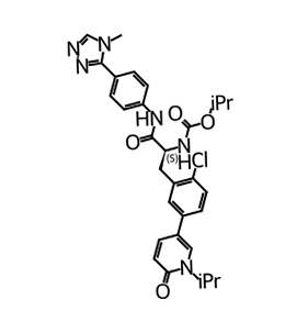 CC(C)OC(=O)N[C@@H](Cc1cc(-c2ccc(=O)n(C(C)C)c2)ccc1Cl)C(=O)Nc1ccc(-c2nncn2C)cc1